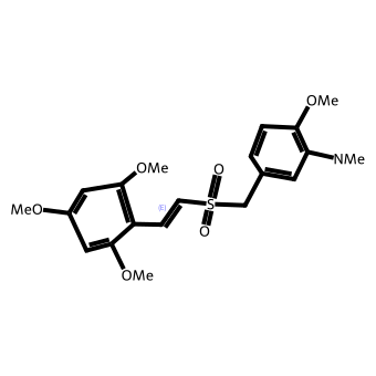 CNc1cc(CS(=O)(=O)/C=C/c2c(OC)cc(OC)cc2OC)ccc1OC